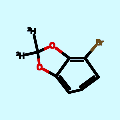 [2H]C1([2H])Oc2cccc(Br)c2O1